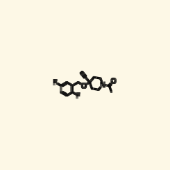 C#CC1(OCc2cc(F)ccc2F)CCN(C(C)=O)CC1